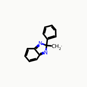 [CH2]C1(c2ccccc2)N=c2ccccc2=N1